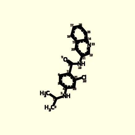 CC(C)Nc1ccc(C(=O)Nc2cnc3ccccc3c2)c(Cl)c1